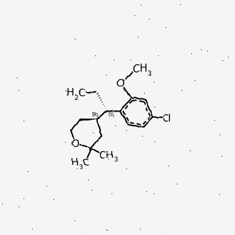 [CH2]C[C@H](c1ccc(Cl)cc1OC)[C@@H]1CCOC(C)(C)C1